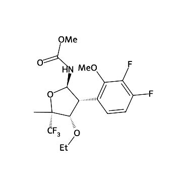 CCO[C@H]1[C@@H](c2ccc(F)c(F)c2OC)[C@H](NC(=O)OC)O[C@@]1(C)C(F)(F)F